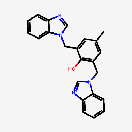 Cc1cc(Cn2cnc3ccccc32)c(O)c(Cn2cnc3ccccc32)c1